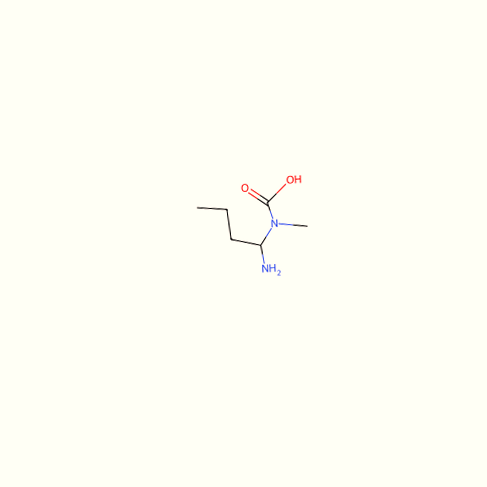 CCCC(N)N(C)C(=O)O